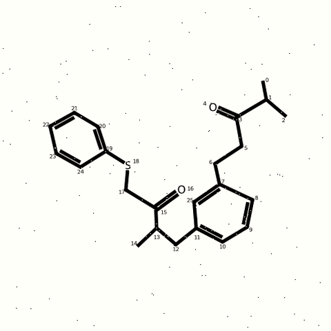 CC(C)C(=O)CCc1cccc(CC(C)C(=O)CSc2ccccc2)c1